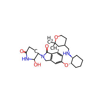 CC1(C)CC(CN[C@H]2CCCC[C@@H]2Oc2ccc3c(c2)CN(C2CCC(=O)NC2O)C3=O)CCO1